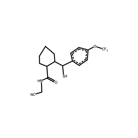 N#CCNC(=O)C1CCCCC1C(S)c1ccc(OC(F)(F)F)cc1